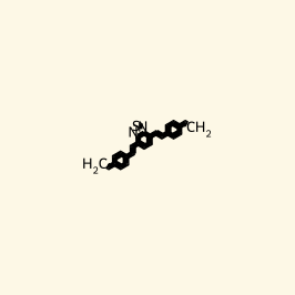 C=Cc1ccc(C=Cc2ccc(C=Cc3ccc(C=C)cc3)c3nsnc23)cc1